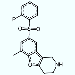 Cc1cc(S(=O)(=O)c2ccccc2F)cc2c3c(oc12)CCNC3